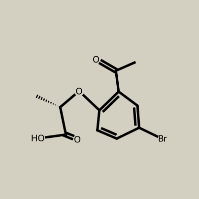 CC(=O)c1cc(Br)ccc1O[C@@H](C)C(=O)O